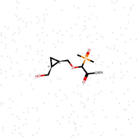 COC(=O)C(OC[C@@H]1C[C@@H]1CO)P(C)(C)=O